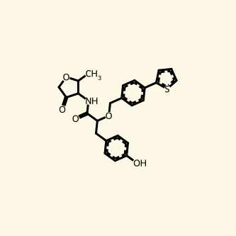 CC1OCC(=O)C1NC(=O)C(Cc1ccc(O)cc1)OCc1ccc(-c2cccs2)cc1